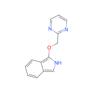 [c]1[nH]c(OCc2ncccn2)c2ccccc12